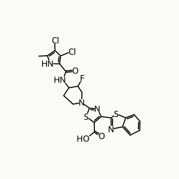 Cc1[nH]c(C(=O)NC2CCN(c3nc(-c4nc5ccccc5s4)c(C(=O)O)s3)CC2F)c(Cl)c1Cl